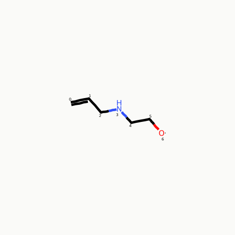 C=CCNCC[O]